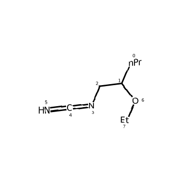 CCCC(CN=C=N)OCC